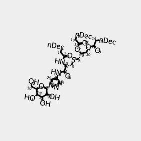 CCCCCCCCCCCC(=O)N[C@H](CSC[C@@H](COC(=O)CCCCCCCCCCC)OC(=O)CCCCCCCCCCC)C(=O)Nc1cn([C@H]2OC(CO)C(O)C(O)C2O)nn1